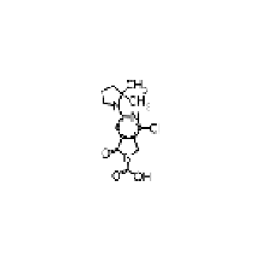 CC1(C)CCCN1c1cc2c(c(Cl)n1)CN(C(=O)O)C2=O